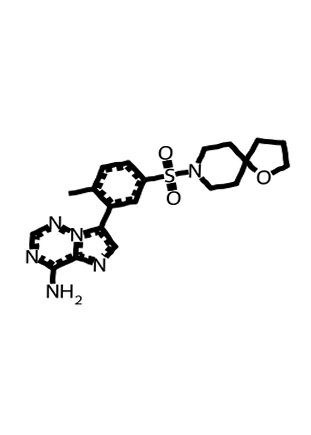 Cc1ccc(S(=O)(=O)N2CCC3(CCCO3)CC2)cc1-c1cnc2c(N)ncnn12